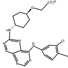 O=C(O)CO[C@H]1CC[C@H](Nc2ncc3ncnc(Nc4ccc(F)c(Cl)c4)c3n2)CC1